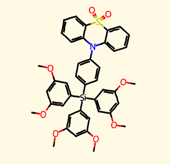 COc1cc(OC)cc([Si](c2ccc(N3c4ccccc4S(=O)(=O)c4ccccc43)cc2)(c2cc(OC)cc(OC)c2)c2cc(OC)cc(OC)c2)c1